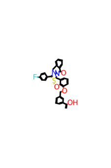 C=C(O)c1cccc(COc2cccc(C3SC(c4ccc(F)cc4)=NN3C(=O)c3ccccc3C)c2OC)c1